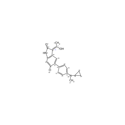 C/C(O)=C1\C(=O)Nc2cc(Cl)c(-c3ccc(N(C)C4CC4)cc3)cc21